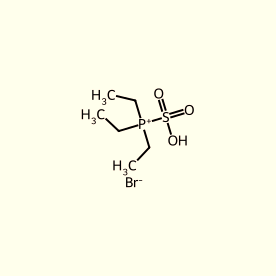 CC[P+](CC)(CC)S(=O)(=O)O.[Br-]